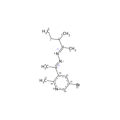 CCC(C)/C(C)=N/N=C(\C)c1cc(Br)cnc1C